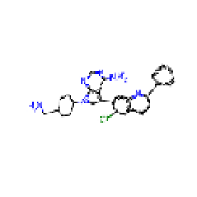 NCC1CCC(n2cc(-c3cc4nc(-c5ccccc5)ccc4cc3Cl)c3c(N)ncnc32)CC1